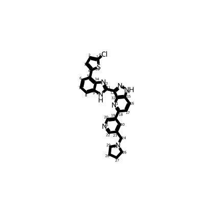 Clc1ccc(-c2cccc3[nH]c(-c4n[nH]c5ccc(-c6cncc(CN7CCCC7)c6)nc45)nc23)s1